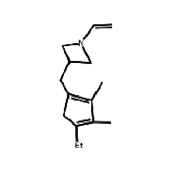 C=CN1CC(CC2=C(C)C(C)=C(CC)C2)C1